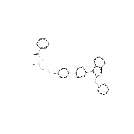 O=C(N[C@@H](CSCc1ccc(-c2ccc(-c3c(Cc4ccccc4)oc4ccccc34)cc2)cc1)C(=O)O)c1ccccc1